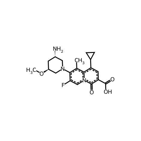 CO[C@H]1C[C@H](N)CN(c2c(F)cn3c(=O)c(C(=O)O)cc(C4CC4)c3c2C)C1